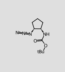 CC(C)(C)OC(=O)N[C@@H]1CCC[C@@H]1N=[N+]=[N-]